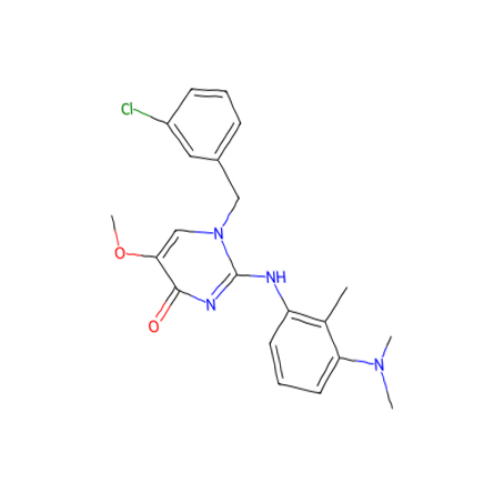 COc1cn(Cc2cccc(Cl)c2)c(Nc2cccc(N(C)C)c2C)nc1=O